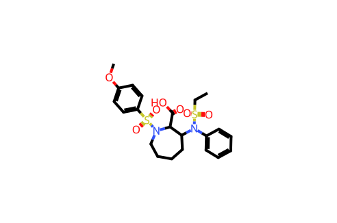 CCS(=O)(=O)N(c1ccccc1)C1CCCCN(S(=O)(=O)c2ccc(OC)cc2)C1C(=O)O